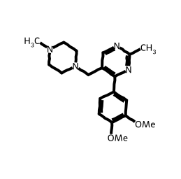 COc1ccc(-c2nc(C)ncc2CN2CCN(C)CC2)cc1OC